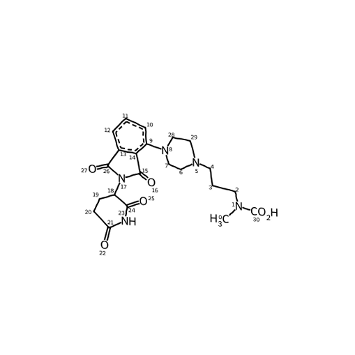 CN(CCCN1CCN(c2cccc3c2C(=O)N(C2CCC(=O)NC2=O)C3=O)CC1)C(=O)O